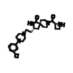 O=C(C1CCN1)N1CCC2(CC1)C[C@H](CCN1CCN(c3cccc(Cl)c3)CC1)NC2=O